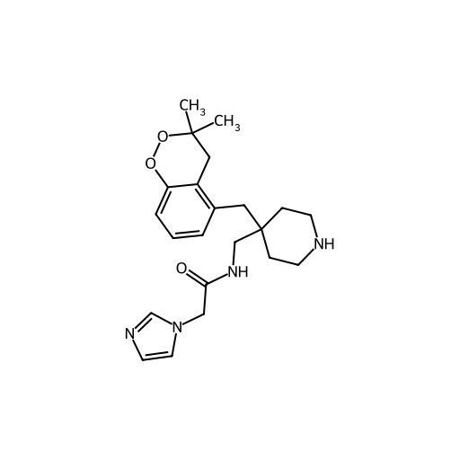 CC1(C)Cc2c(CC3(CNC(=O)Cn4ccnc4)CCNCC3)cccc2OO1